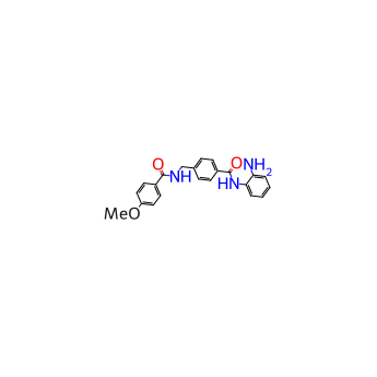 COc1ccc(C(=O)NCc2ccc(C(=O)Nc3ccccc3N)cc2)cc1